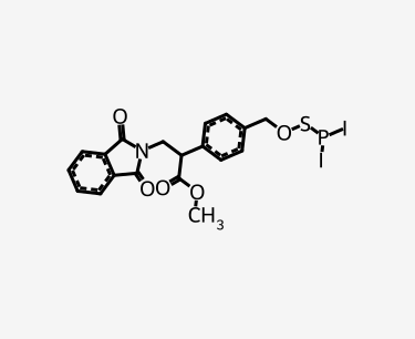 COC(=O)C(CN1C(=O)c2ccccc2C1=O)c1ccc(COSP(I)I)cc1